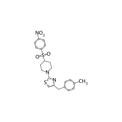 Cc1ccc(Cc2csc(N3CCC(S(=O)(=O)c4ccc([N+](=O)[O-])cc4)CC3)n2)cc1